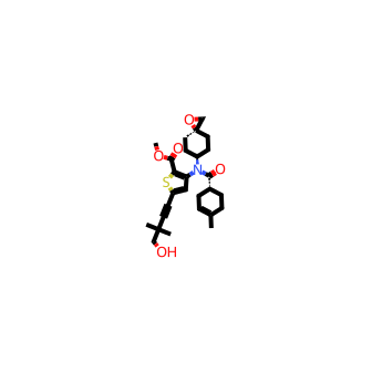 COC(=O)c1sc(C#CC(C)(C)CO)cc1N(C(=O)[C@H]1CC=C(C)CC1)[C@H]1CC[C@@]2(CC1)CO2